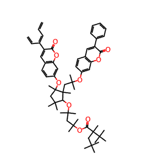 C=C/C=C(\C=C)c1cc2ccc(OC3(C)CC(C)(C)C(OC(C)(C)CC(C)(C)OC(=O)C(C)(CC(C)(C)C)C(C)(C)C)C3(C)CC(C)(C)Oc3ccc4cc(-c5ccccc5)c(=O)oc4c3)cc2oc1=O